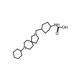 O=C(O)NC1CCC(CN2CCC3(CCN(C4CCCCC4)CC3)C2)CC1